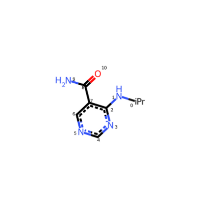 CC(C)Nc1ncncc1C(N)=O